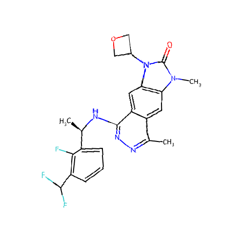 Cc1nnc(N[C@H](C)c2cccc(C(F)F)c2F)c2cc3c(cc12)n(C)c(=O)n3C1COC1